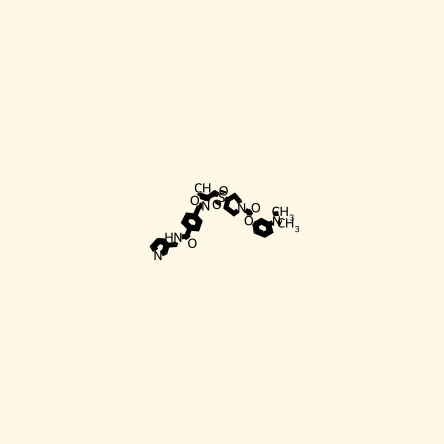 Cc1oc(-c2ccc(C(=O)NCc3cccnc3)cc2)nc1CS(=O)(=O)C1CCN(C(=O)Oc2cccc(N(C)C)c2)CC1